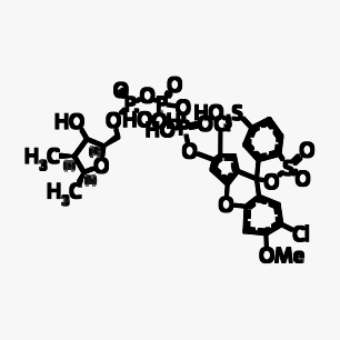 COc1cc2c(cc1Cl)C1(OS(=O)(=O)c3ccc(S(=O)(=O)O)cc31)c1cc(Cl)c(OP(=O)(O)OP(=O)(O)OP(=O)(O)OC[C@H]3O[C@@H](C)[C@@H](C)C3O)cc1O2